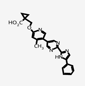 Cc1cc(OCC2(C(=O)O)CC2)ncc1-c1cnc(-c2ncc(-c3ccccc3)[nH]2)nc1